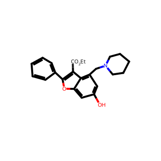 CCOC(=O)c1c(-c2ccccc2)oc2cc(O)cc(CN3CCCCC3)c12